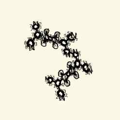 O=C1C2C(C(=O)N1c1cc(-c3ccncc3)cc(-c3ccncc3)c1)C1C(=O)N(c3cc(-c4ccncc4)cc(-c4ccnc(-c5cc(-c6cc(-c7ccncc7)cc(N7C(=O)C8C9C(=O)N(c%10cc(-c%11ccncc%11)cc(-c%11cccnc%11)c%10)C(=O)C9C8C7=O)c6)ccn5)c4)c3)C(=O)C21